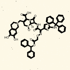 O=C(CO/N=C(\C(=O)NC1C(=O)N2C(C(=O)O)=C(CN3CCc4cc(O)c(O)cc4C3)C[S+]([O-])[C@H]12)c1csc(NC(c2ccccc2)(c2ccccc2)c2ccccc2)n1)OC(c1ccccc1)c1ccccc1